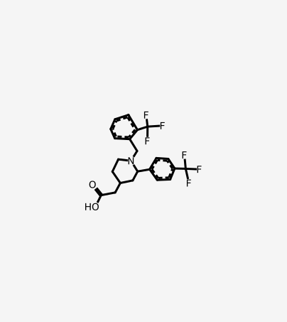 O=C(O)CC1CCN(Cc2ccccc2C(F)(F)F)C(c2ccc(C(F)(F)F)cc2)C1